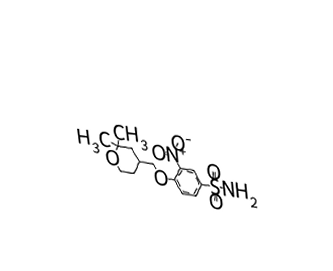 CC1(C)CC(COc2ccc(S(N)(=O)=O)cc2[N+](=O)[O-])CCO1